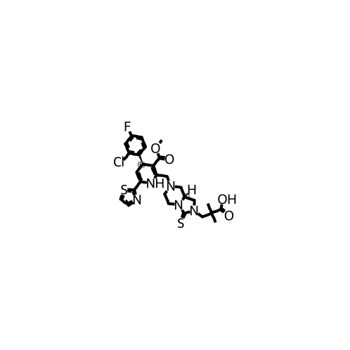 COC(=O)C1=C(CN2CCN3C(=S)N(CC(C)(C)C(=O)O)C[C@@H]3C2)NC(c2nccs2)=C[C@H]1c1ccc(F)cc1Cl